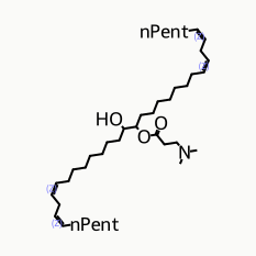 CCCCC/C=C\C/C=C\CCCCCCCC(O)C(CCCCCCC/C=C\C/C=C\CCCCC)OC(=O)CCN(C)C